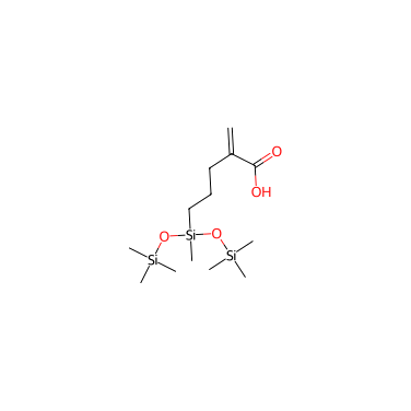 C=C(CCC[Si](C)(O[Si](C)(C)C)O[Si](C)(C)C)C(=O)O